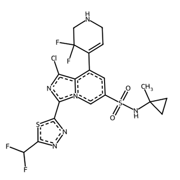 CC1(NS(=O)(=O)c2cc(C3=CCNCC3(F)F)c3c(Cl)nc(-c4nnc(C(F)F)s4)n3c2)CC1